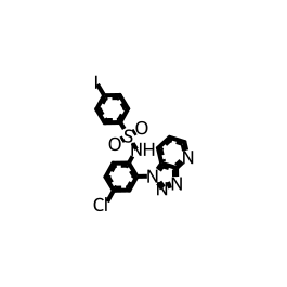 O=S(=O)(Nc1ccc(Cl)cc1-n1nnc2ncccc21)c1ccc(I)cc1